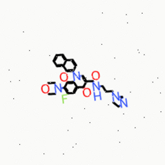 O=C(NCCCN1C=NCC1)c1cn2c3c(c(N4CCOCC4)c(F)cc3c1=O)Oc1c-2ccc2ccccc12